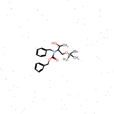 CC(O)C(CO[Si](C)(C)C(C)(C)C)N(Cc1ccccc1)C(=O)OCc1ccccc1